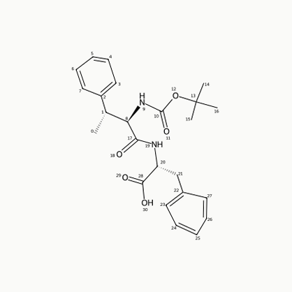 C[C@H](c1ccccc1)[C@@H](NC(=O)OC(C)(C)C)C(=O)N[C@H](Cc1ccccc1)C(=O)O